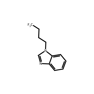 FC(F)(F)CCCn1[c]nc2ccccc21